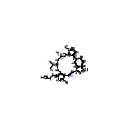 Cc1nn(CCO)c2c1/C=C/c1n[nH]c3ccc(cc13)-c1cnn(C)c1O[C@@H](C)CN(C(C)C)C2